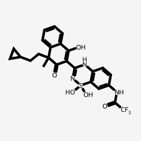 CC1(CCC2CC2)C(=O)C(C2=NS(O)(O)c3cc(NC(=O)C(F)(F)F)ccc3N2)=C(O)c2ccccc21